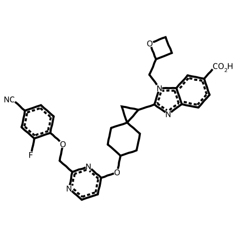 N#Cc1ccc(OCc2nccc(OC3CCC4(CC3)CC4c3nc4ccc(C(=O)O)cc4n3CC3CCO3)n2)c(F)c1